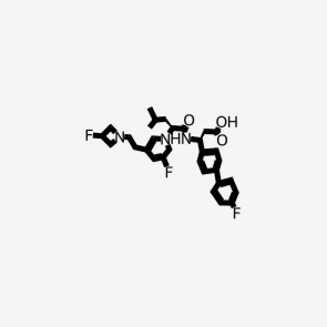 CC(C)C[C@@H](C(=O)N[C@@H](CC(=O)O)c1ccc(-c2ccc(F)cc2)cc1)N1C=C(CCN2CC(F)C2)C=C(F)C1